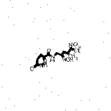 CCC(C(C)=CC(CNC(=O)C1=NNC(=O)CC1)=NO)[N+](=O)[O-]